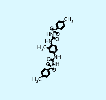 Cc1ccc(S(=O)(=O)NC(=O)Nc2ccc(NC(=O)NS(=O)(=O)c3ccc(C)cc3)c(C)c2)cc1